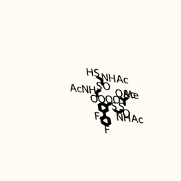 COC(=O)C(CSC(=O)C(CSC(=O)c1cc(-c2ccc(F)cc2F)ccc1OC(=O)C(CSC(=O)C(CS)NC(C)=O)NC(C)=O)NC(C)=O)CC(C)=O